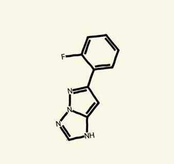 Fc1ccccc1-c1cc2[nH][c]nn2n1